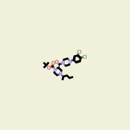 CCCC(C)N1CCN(C(=O)OC(C)(C)C)[C@@H](C(=O)N2CCN(c3ccc(Cl)c(Cl)c3)CC2)C1